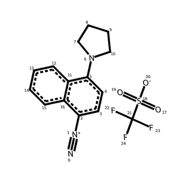 N#[N+]c1ccc(N2CCCC2)c2ccccc12.O=S(=O)([O-])C(F)(F)F